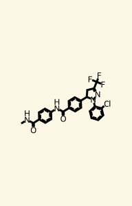 CNC(=O)c1ccc(NC(=O)c2ccc(C3CC(C(F)(F)F)=NN3c3ccccc3Cl)cc2)cc1